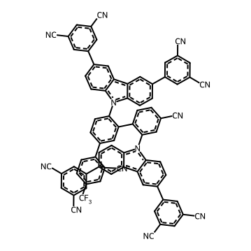 N#Cc1cc(C#N)cc(-c2ccc3c(c2)c2cc(-c4cc(C#N)cc(C#N)c4)ccc2n3-c2ccc(-c3ccc(C(F)(F)F)cc3C#N)cc2-c2ccc(C#N)cc2-n2c3ccc(-c4cc(C#N)cc(C#N)c4)cc3c3cc(-c4cc(C#N)cc(C#N)c4)ccc32)c1